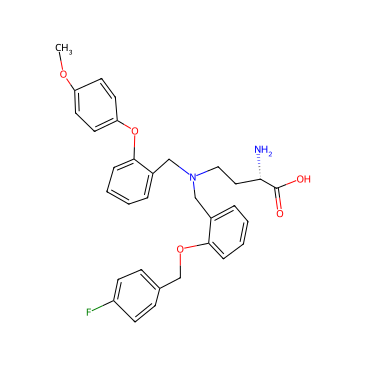 COc1ccc(Oc2ccccc2CN(CC[C@H](N)C(=O)O)Cc2ccccc2OCc2ccc(F)cc2)cc1